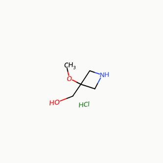 COC1(CO)CNC1.Cl